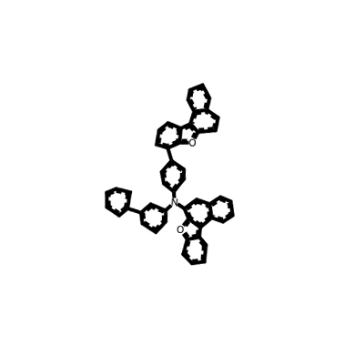 c1ccc(-c2cccc(N(c3ccc(-c4cccc5c4oc4ccc6ccccc6c45)cc3)c3cc4ccccc4c4c3oc3ccccc34)c2)cc1